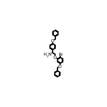 N[C@@H](COc1cc(OCc2ccccc2)ccc1Br)c1ccc(OCc2ccccc2)cc1